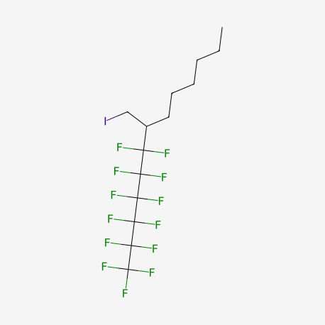 CCCCCCC(CI)C(F)(F)C(F)(F)C(F)(F)C(F)(F)C(F)(F)C(F)(F)F